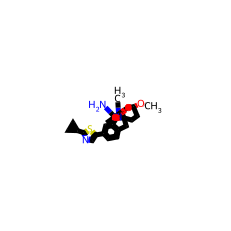 COC1CCC2(CC1)Cc1ccc(-c3cnc(C4CC4)s3)cc1C21N=C(N)N(C)C1=O